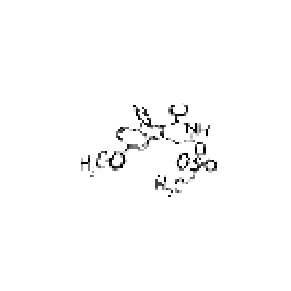 CCS(=O)(=O)OC1Cc2c([nH]c3ccc(OC)cc23)C(=O)N1